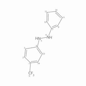 FC(F)(F)c1ccc(NNc2ccccc2)cc1